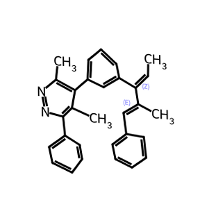 C/C=C(/C(C)=C/c1ccccc1)c1cccc(-c2c(C)nnc(-c3ccccc3)c2C)c1